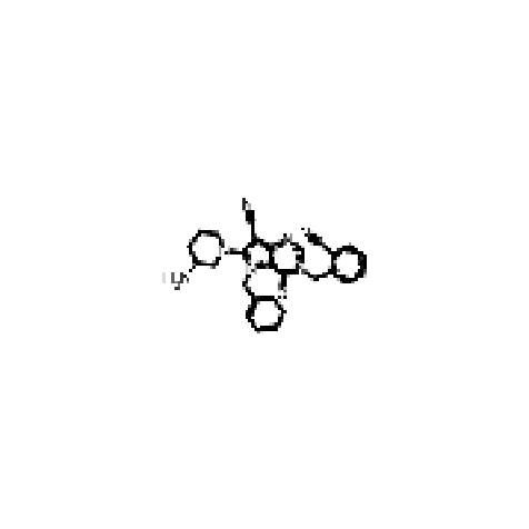 N#Cc1ccccc1Cn1cnc2c(C#N)c(N3CCC[C@H](N)C3)n(CC3=CC=CCC3)c2c1=O